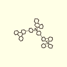 c1ccc([Si]2(c3ccccc3)c3ccccc3-c3cc(-c4ccc(N(c5ccc(-c6ccc7c8ccccc8c8ccccc8c7c6)cc5)c5cc6ccccc6c6ccccc56)cc4)ccc32)cc1